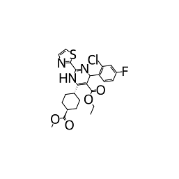 CCOC(=O)C1=C([C@H]2CC[C@H](C(=O)OC)CC2)NC(c2nccs2)=NC1c1ccc(F)cc1Cl